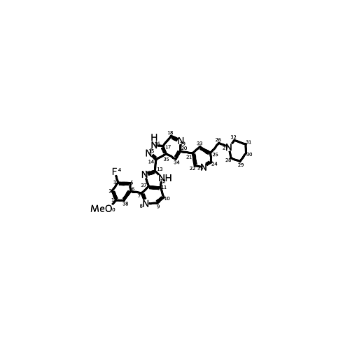 COc1cc(F)cc(-c2nccc3[nH]c(-c4n[nH]c5cnc(-c6cncc(CN7CCCCC7)c6)cc45)nc23)c1